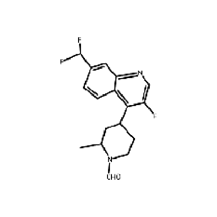 CC1CC(c2c(F)cnc3cc(C(F)F)ccc23)CCN1C=O